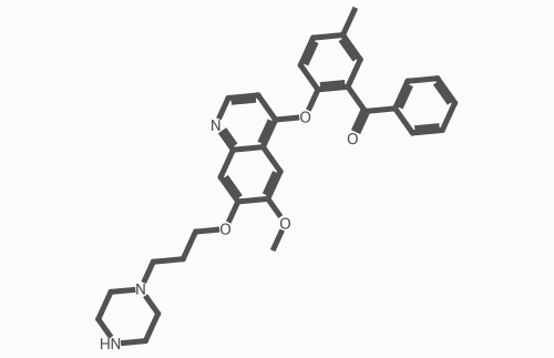 COc1cc2c(Oc3ccc(C)cc3C(=O)c3ccccc3)ccnc2cc1OCCCN1CCNCC1